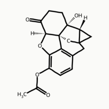 CC(=O)Oc1ccc2c3c1O[C@H]1C(=O)CC[C@@]4(O)[C@@H]5CC5(C2)C[C@]314